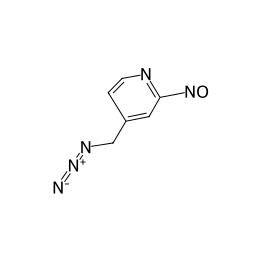 [N-]=[N+]=NCc1ccnc(N=O)c1